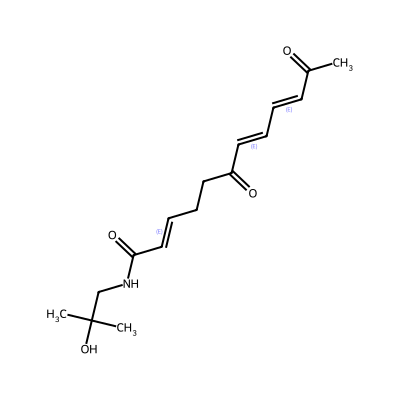 CC(=O)/C=C/C=C/C(=O)CC/C=C/C(=O)NCC(C)(C)O